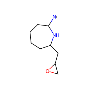 [N]C1CCCCC(CC2CO2)N1